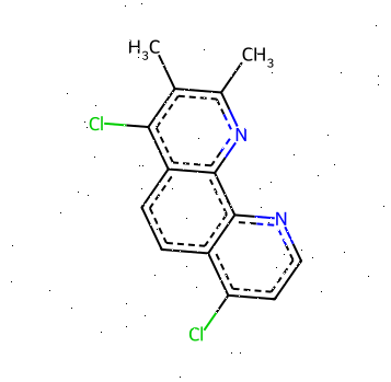 Cc1nc2c(ccc3c(Cl)ccnc32)c(Cl)c1C